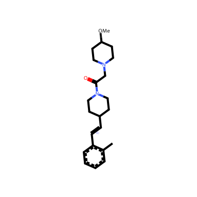 COC1CCN(CC(=O)N2CCC(/C=C/c3ccccc3C)CC2)CC1